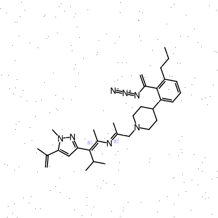 C=C(N=[N+]=[N-])c1c(CCC)cccc1C1CCN(C/C(C)=N/C(C)=C(/c2cc(C(=C)C)n(C)n2)C(C)C)CC1